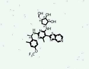 Cc1cc(OC(F)(F)F)ccc1[C@@H](C)Nc1nc(C)c(-c2nc3cnccc3s2)c(N[C@@H]2C[C@H](CO)[C@@H](O)[C@H]2O)n1